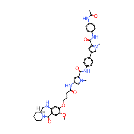 COc1cc2c(cc1OCCCC(=O)Nc1cc(C(=O)Nc3ccc(-c4cc(C(=O)Nc5ccc(NC(C)=O)cc5)n(C)c4)cc3)n(C)c1)NC[C@@H]1CCCCN1C2=O